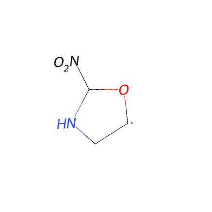 O=[N+]([O-])C1NC[CH]O1